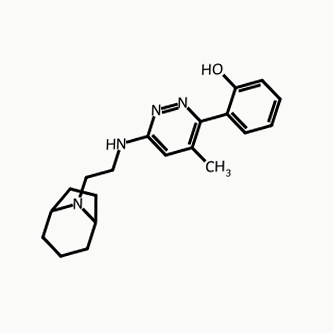 Cc1cc(NCCN2C3CCCC2CC3)nnc1-c1ccccc1O